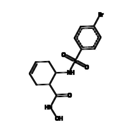 O=C(NO)C1CC=CCC1NS(=O)(=O)c1ccc(Br)cc1